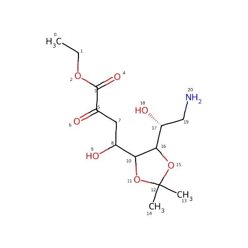 CCOC(=O)C(=O)CC(O)C1OC(C)(C)OC1[C@H](O)CN